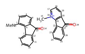 CNc1cccc2c1-c1ccccc1C2=O.C[n+]1cccc2c1-c1ccccc1C2=O